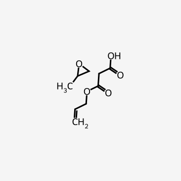 C=CCOC(=O)CC(=O)O.CC1CO1